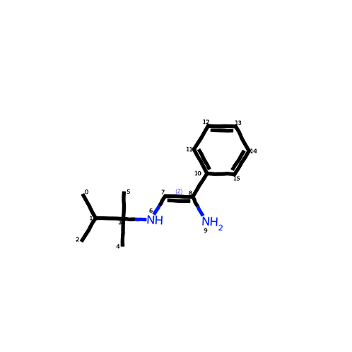 CC(C)C(C)(C)N/C=C(\N)c1ccccc1